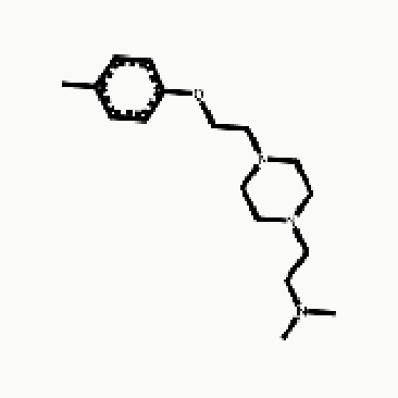 Cc1ccc(OCCN2CCN(CCN(C)C)CC2)cc1